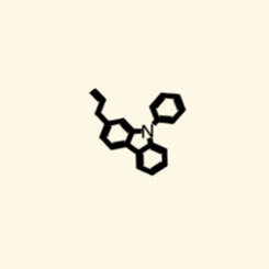 C=CCc1ccc2c3ccccc3n(-c3ccccc3)c2c1